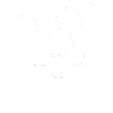 CS(=O)(=O)Cc1cc(F)cc2c(C(CCC#N)c3ccc(Cl)cc3F)c[nH]c12